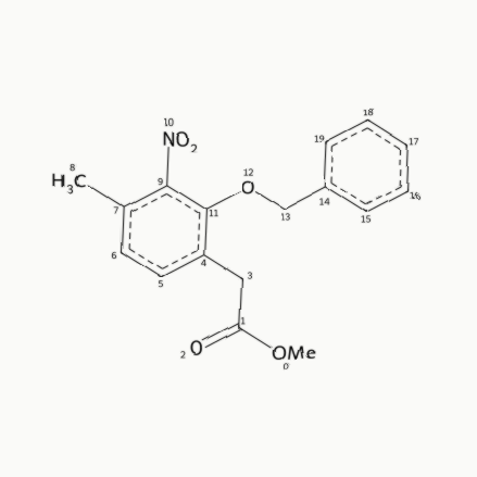 COC(=O)Cc1ccc(C)c([N+](=O)[O-])c1OCc1ccccc1